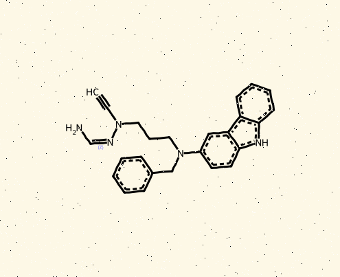 C#CN(CCCN(Cc1ccccc1)c1ccc2[nH]c3ccccc3c2c1)/N=C\N